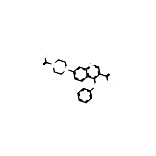 NC(=O)c1cnc2cc(N3CCN(C(=O)O)CC3)ccc2c1Nc1ccccc1